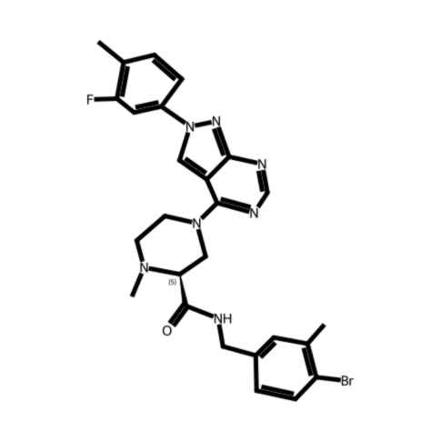 Cc1ccc(-n2cc3c(N4CCN(C)[C@H](C(=O)NCc5ccc(Br)c(C)c5)C4)ncnc3n2)cc1F